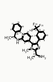 C[C@H](Nc1cc(-c2c(-c3cccc(C(F)(F)F)c3)nc([C@@H](C)N)n2C)ccn1)c1ccccc1